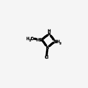 C[SiH]1N[SiH2]N1Cl